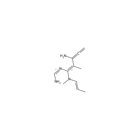 C=C=C(N)/C(C)=C(\N=C/N)N(C)C=CC